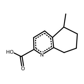 CC1CCCc2nc(C(=O)O)ccc21